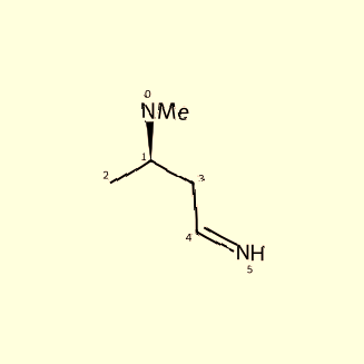 CN[C@H](C)CC=N